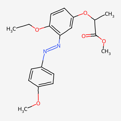 CCOc1ccc(OC(C)C(=O)OC)cc1/N=N/c1ccc(OC)cc1